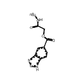 CCCCNC(=O)COC(=O)c1ccc2[nH]nnc2c1